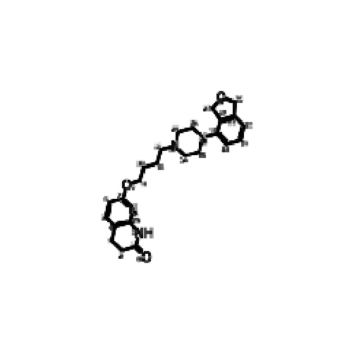 O=C1CCc2ccc(OCCCCN3CCN(c4cccc5c4COC5)CC3)nc2N1